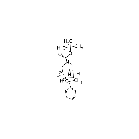 CC(C)(C)OC(=O)N1C[C@H]2CC(=O)[C@@H](C1)N2C(C)(C)c1ccccc1